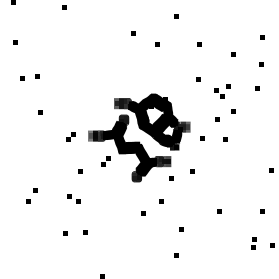 O=C(O)C=CC(=O)O.Oc1ccc2[nH]ncc2c1